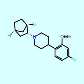 COc1cc(F)ccc1C1CCN([C@@H]2C[C@H]3CC[C@H]2C3)CC1